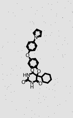 O=C1NC(=O)C(Oc2ccc(Oc3ccc(-n4cccc4)cc3)cc2)(C2CCCCC2)C(=O)N1